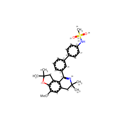 COc1cc2c(c3c1OC(C)(C)C3)C(c1cccc(-c3ccc(NS(C)(=O)=O)cc3)c1)=NC(C)(C)C2